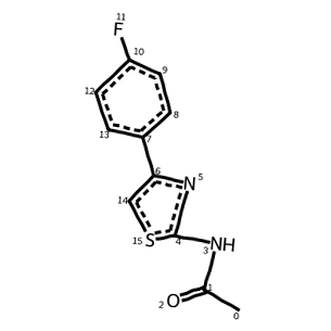 CC(=O)Nc1nc(-c2ccc(F)cc2)cs1